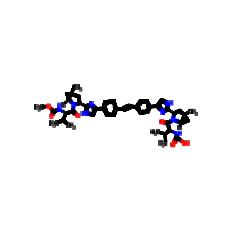 COC(=O)N[C@H](C(=O)N1[C@H]2C[C@]2(C)C[C@H]1c1nc(-c2ccc(C#Cc3ccc(-c4c[nH]c([C@@H]5C[C@]6(C)C[C@@H]6N5C(=O)[C@@H](NC(=O)O)C(C)C)n4)cc3)cc2)c[nH]1)C(C)C